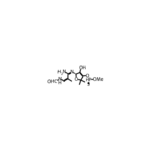 CO[PH](=S)OC1=C(O)[C@H](/N=C(N)\C(C)=C/NC=O)OC1(C)C